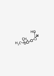 CCCC(CCC)Oc1ccc(-c2ccc(C3CCCC(C#N)(CCCCO)C3)cc2)cc1